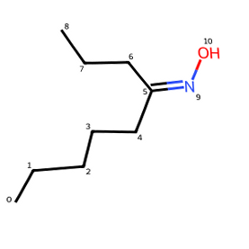 CCCCC/C(CCC)=N/O